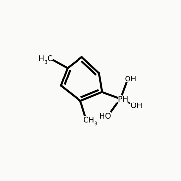 Cc1ccc([PH](O)(O)O)c(C)c1